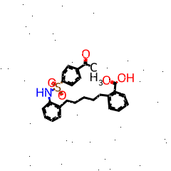 CC(=O)c1ccc(S(=O)(=O)Nc2ccccc2CCCCCc2ccccc2C(=O)O)cc1